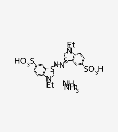 CCN1CS(=NN=S2CN(CC)c3ccc(S(=O)(=O)O)cc32)c2cc(S(=O)(=O)O)ccc21.N.N